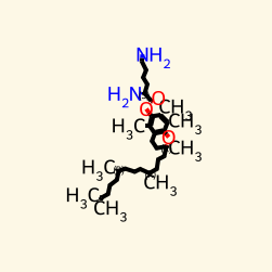 Cc1c(C)c2c(c(C)c1OC(=O)[C@@H](N)CCCCN)CC[C@@](C)(CCC[C@H](C)CCC[C@H](C)CCCC(C)C)O2